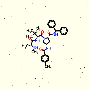 CN[C@@H](C)C(=O)N[C@H](C(=O)N1C[C@@H](NC(=O)c2ccc(C)cc2)C[C@H]1C(=O)NC(c1ccccc1)c1ccccc1)C(C)(C)C